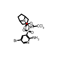 Nc1ncc(Br)cc1S(=O)(=O)NC1CC2CCC(C1)N2C(=O)OCC(Cl)(Cl)Cl